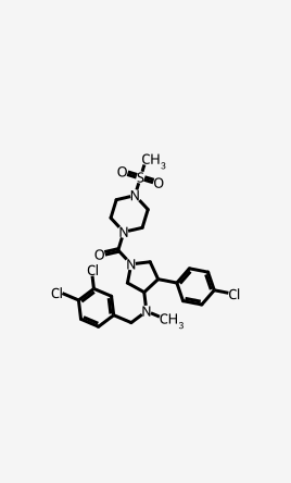 CN(Cc1ccc(Cl)c(Cl)c1)C1CN(C(=O)N2CCN(S(C)(=O)=O)CC2)CC1c1ccc(Cl)cc1